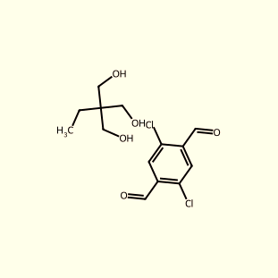 CCC(CO)(CO)CO.O=Cc1cc(Cl)c(C=O)cc1Cl